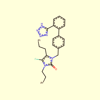 CC(C)CCc1c(F)n(CCC(C)C)c(=O)n1Cc1ccc(-c2ccccc2-c2nnn[nH]2)cc1